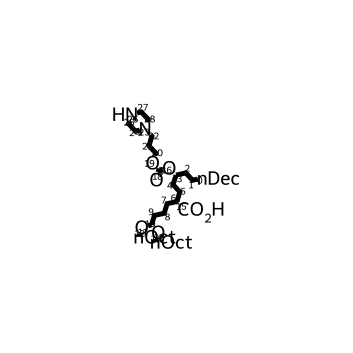 CCCCCCCCCCCCC(CCC(CCCC(OCCCCCCCC)OCCCCCCCC)C(=O)O)OC(=O)OCCCN1CCNCC1